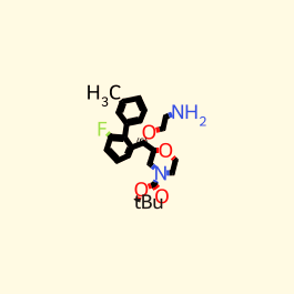 Cc1cccc(-c2c(F)cccc2[C@H](OCCN)C2CN(C(=O)OC(C)(C)C)CCO2)c1